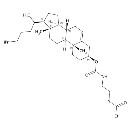 CCC(=O)NCCNC(=O)O[C@H]1CC[C@@]2(C)C(=CC[C@H]3[C@@H]4CC[C@H](C(C)CCCC(C)C)[C@@]4(C)CC[C@@H]32)C1